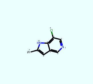 CC(C)c1cc2cncc(Cl)c2[nH]1